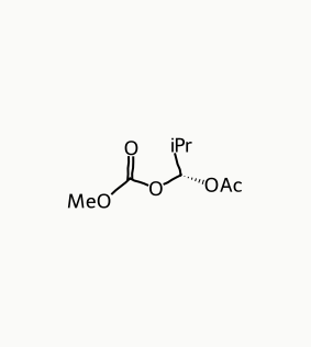 COC(=O)O[C@@H](OC(C)=O)C(C)C